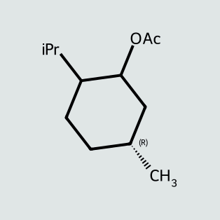 CC(=O)OC1C[C@H](C)CCC1C(C)C